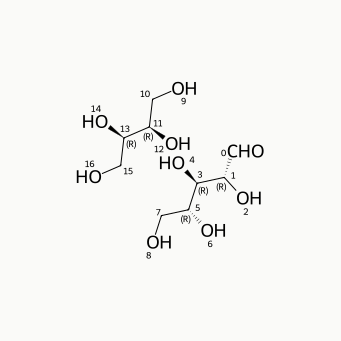 O=C[C@H](O)[C@H](O)[C@H](O)CO.OC[C@@H](O)[C@H](O)CO